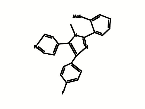 CSc1ccccc1-c1nc(-c2ccc(F)cc2)c(-c2ccncc2)n1C